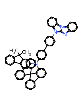 CC1(C)c2ccccc2-c2ccc(N(c3ccc(-c4ccc(-n5c6ccccc6n6c7ccccc7nc56)cc4)cc3)c3cccc4c3C3(c5ccccc5-c5ccccc53)c3ccccc3-4)cc21